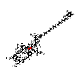 CC[C@H](NC(=O)[C@H](C)NC(=O)[C@H](CC(C)C)NC(=O)[C@H](CC(=O)O)NC(=O)CNC(=O)c1cccc(NC(=N)N)c1)C(=O)N[C@@H](CC(C)C)C(=O)N[C@@H](CCCNC(N)=O)C(=O)NC(C)(C)C(=O)N[C@@H](CC(C)C)C(=O)NCCOCCOCCOCCOCCOCCC(=O)Oc1c(F)c(F)cc(F)c1F